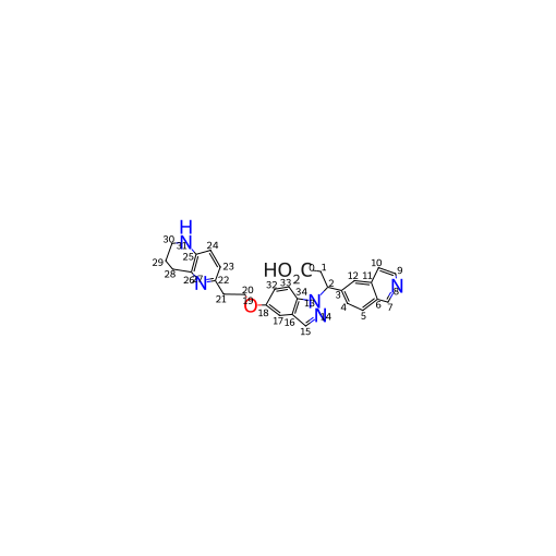 O=C(O)CC(c1ccc2cnccc2c1)n1ncc2cc(OCCc3ccc4c(n3)CCCN4)ccc21